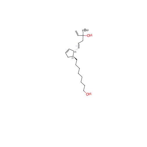 C=CC(O)(C/C=C/[C@H]1C=CC[C@@H]1CCCCCCCCO)CCCC